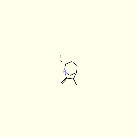 C=C1C(C)C2CC[C@@H](CF)N1C2